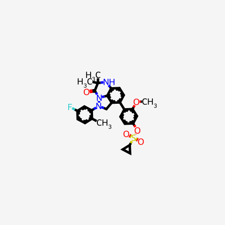 COc1cc(OS(=O)(=O)C2CC2)ccc1-c1ccc2c3c1CN(c1cc(F)ccc1C)N3C(=O)C(C)(C)N2